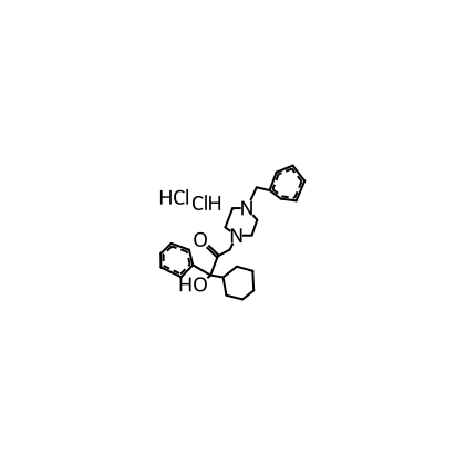 Cl.Cl.O=C(CN1CCN(Cc2ccccc2)CC1)C(O)(c1ccccc1)C1CCCCC1